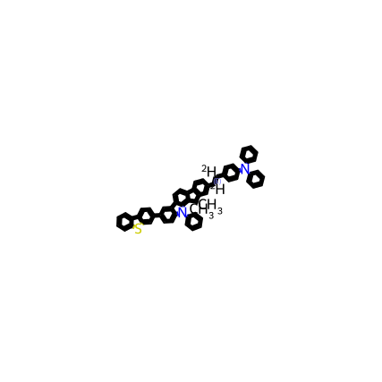 [2H]/C(=C(/[2H])c1ccc2c(c1)C(C)(C)c1c-2ccc2c3cc(-c4ccc5c(c4)sc4ccccc45)ccc3n(-c3ccccc3)c12)c1ccc(N(c2ccccc2)c2ccccc2)cc1